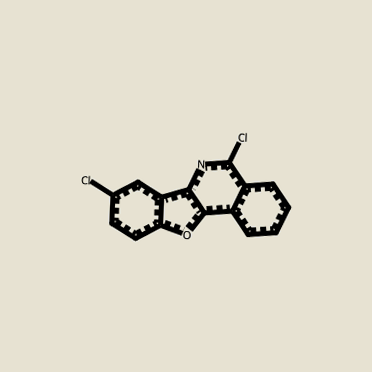 Clc1ccc2oc3c4ccccc4c(Cl)nc3c2c1